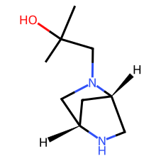 CC(C)(O)CN1C[C@@H]2C[C@H]1CN2